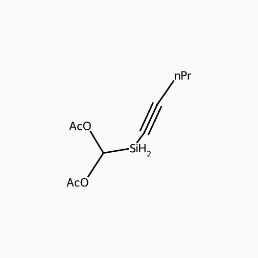 CCCC#C[SiH2]C(OC(C)=O)OC(C)=O